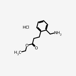 CCOC(=O)CCc1ccccc1CN.Cl